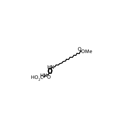 COC(=O)CCCCCCCCCCCCCCCNc1ccc(C(=O)NCC(=O)O)cc1